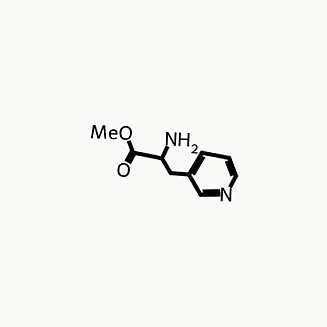 COC(=O)C(N)Cc1cccnc1